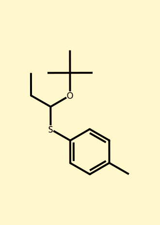 CCC(OC(C)(C)C)Sc1ccc(C)cc1